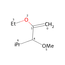 C=C(OCC)C(OC)C(C)C